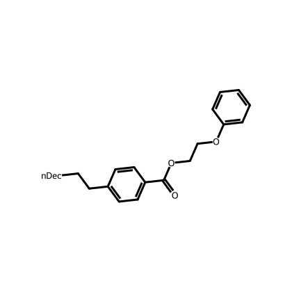 CCCCCCCCCCCCc1ccc(C(=O)OCCOc2ccccc2)cc1